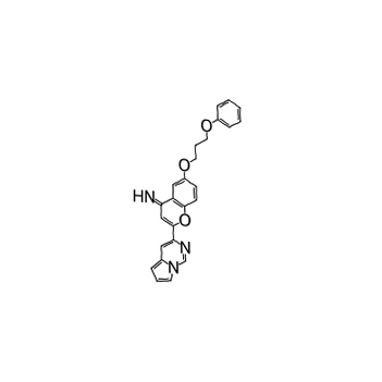 N=c1cc(-c2cc3cccn3cn2)oc2ccc(OCCCOc3ccccc3)cc12